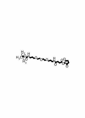 CC(C)(C)OC(=O)NCCCOCCOCCOCCCNC(=O)CCC(=O)ON1C(=O)CCC1=O